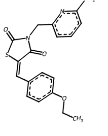 CCOc1ccc(/C=C2/SC(=O)N(Cc3cccc(N)n3)C2=O)cc1